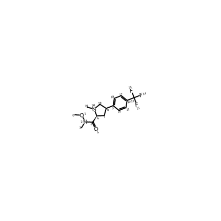 CON(C)C(=O)[C@@H]1CC(c2ccc(C(F)(F)F)cc2)CN1C